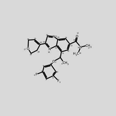 CC(Oc1cc(F)cc(F)c1)c1cc(C(=O)N(C)C)cc2ncc(C3=CCOCC3)nc12